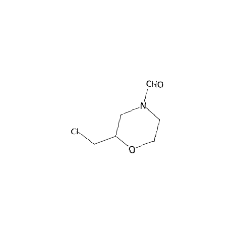 O=CN1CCOC(CCl)C1